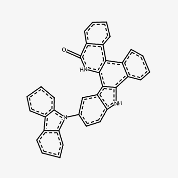 O=c1[nH]c2c(c3ccccc13)c1ccccc1c1[nH]c3ccc(-n4c5ccccc5c5ccccc54)cc3c12